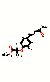 CCCCOC(=O)C(C)(C)Oc1ccc(CCCC(=O)OC)cc1I